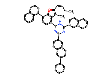 CC/C=C\c1oc2c(-c3cccc4ccccc34)ccc(C3N=C(c4ccc5cc(-c6ccccc6)ccc5c4)N=C(c4ccc5ccccc5c4)N3)c2c1C